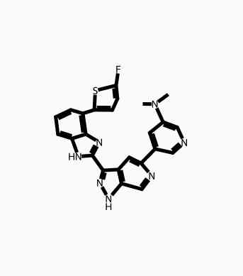 CN(C)c1cncc(-c2cc3c(-c4nc5c(-c6ccc(F)s6)cccc5[nH]4)n[nH]c3cn2)c1